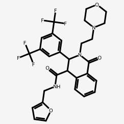 O=C(NCc1ccco1)C1c2ccccc2C(=O)N(CCN2CCOCC2)C1c1cc(C(F)(F)F)cc(C(F)(F)F)c1